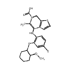 COC1CCCCC1Oc1cc(F)ccc1NC1=C(C)N(C(=O)O)Cc2sccc21